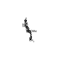 COc1cc2c(Oc3ccc(NC(=O)NC(=O)Cc4ccc(F)cc4)cc3F)ccnc2cc1OCCCCN1CCN(C)CC1